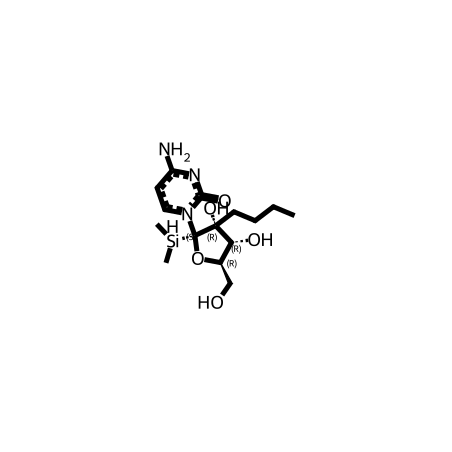 CCCC[C@@]1(O)[C@H](O)[C@@H](CO)O[C@]1(n1ccc(N)nc1=O)[SiH](C)C